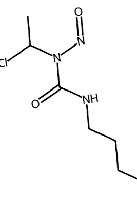 CCCCNC(=O)N(N=O)C(C)Cl